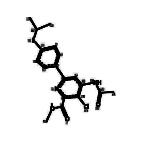 COC(=O)c1nc(-c2ccc(SC(C)C)cc2)cc(NC(C)=O)c1Cl